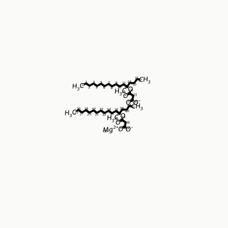 CCCCCCCCCCCCC(C)(CCCC)OC(=O)CC(=O)[O-].CCCCCCCCCCCCC(C)(CCCC)OC(=O)CC(=O)[O-].[Mg+2]